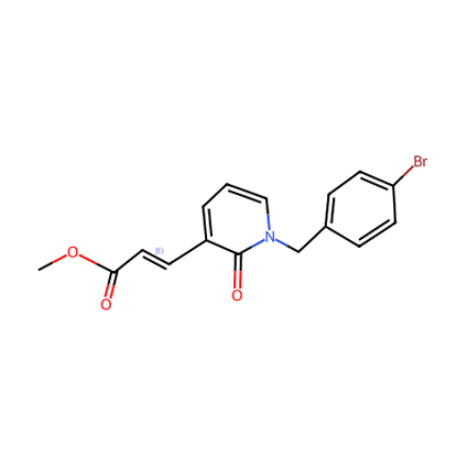 COC(=O)/C=C/c1cccn(Cc2ccc(Br)cc2)c1=O